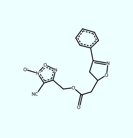 N#Cc1c(COC(=O)CC2CC(c3ccccc3)=NO2)no[n+]1[O-]